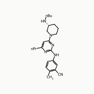 CCCCN[C@@H]1CCCN(c2cc(CCC)nc(Nc3ccc(C)c(C#N)c3)n2)C1